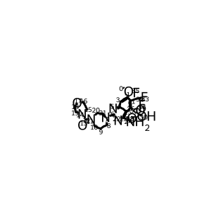 COc1cc2nc(N3CCCN(C(=O)N4CCOCC4)CC3)nc(N)c2c(S(=O)(=O)O)c1C(F)(F)F